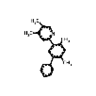 Cc1cnc(-c2cc(-c3ccccc3)c(C)cc2C)cc1C